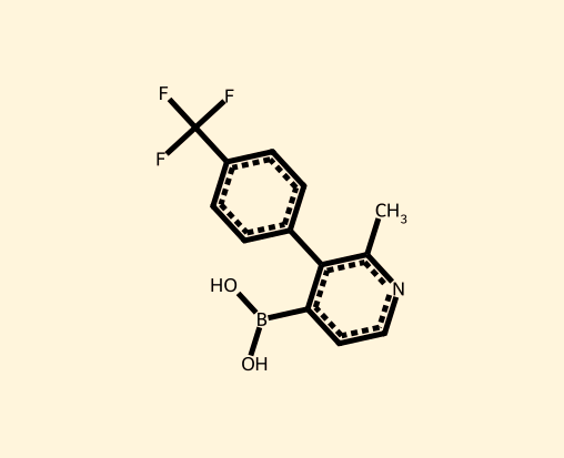 Cc1nccc(B(O)O)c1-c1ccc(C(F)(F)F)cc1